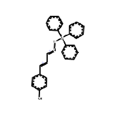 N#Cc1ccc(/C=C/C=N/O[Si](c2ccccc2)(c2ccccc2)c2ccccc2)cc1